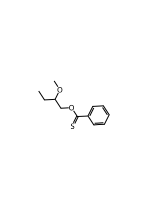 CCC(COC(=S)c1ccccc1)OC